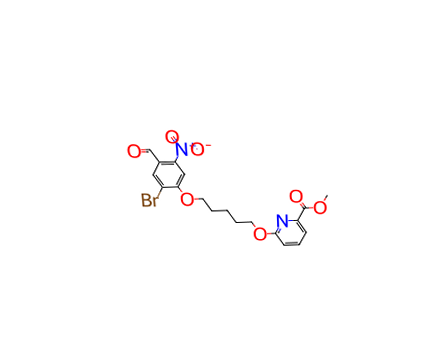 COC(=O)c1cccc(OCCCCCOc2cc([N+](=O)[O-])c(C=O)cc2Br)n1